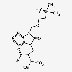 CC(C)(C)N(C(=O)O)C(CC1C(=O)N(COCC[Si](C)(C)C)c2ncccc21)C(N)=O